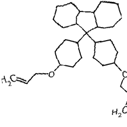 C=CCOC1CCC(C2(C3CCC(OCC=C)CC3)C3CCCCC3C3CCCCC32)CC1